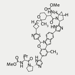 COC(=O)NC(C(=O)N1[C@@H]2C[C@@H]2C[C@H]1c1ncc(-c2ccc3c(c2)cc2n3C(c3cnc(C4CCC4)s3)Oc3cc(-c4cnc([C@@H]5CCCN5C(=O)[C@@H](NC(=O)OC)C(C)C)[nH]4)cc(C)c3-2)[nH]1)C1CCOC(C)(C)C1